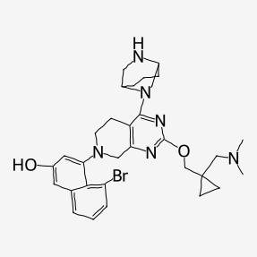 CN(C)CC1(COc2nc3c(c(N4CC5CCCC4CN5)n2)CCN(c2cc(O)cc4cccc(Br)c24)C3)CC1